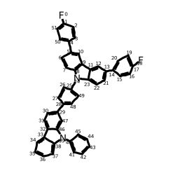 Fc1ccc(-c2ccc3c(c2)c2cc(-c4ccc(F)cc4)ccc2n3-c2ccc(-c3ccc4c5ccccc5n(-c5ccccc5)c4c3)cc2)cc1